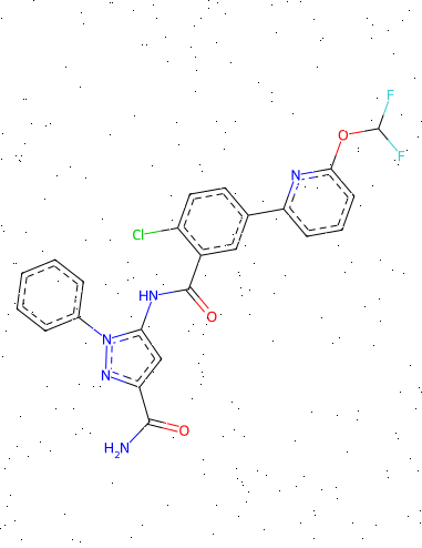 NC(=O)c1cc(NC(=O)c2cc(-c3cccc(OC(F)F)n3)ccc2Cl)n(-c2ccccc2)n1